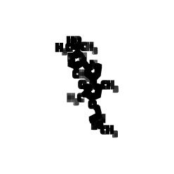 Cc1nc(COc2cc(C)n(-c3ccnc(-c4nc(C(C)(C)O)ncc4C)c3)c(=O)c2C)cs1